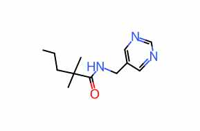 CCCC(C)(C)C(=O)NCc1cncnc1